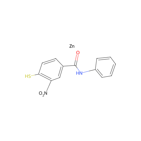 O=C(Nc1ccccc1)c1ccc(S)c([N+](=O)[O-])c1.[Zn]